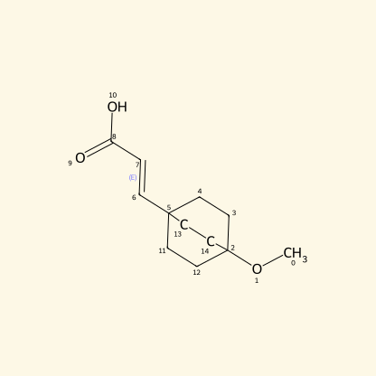 COC12CCC(/C=C/C(=O)O)(CC1)CC2